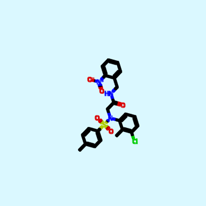 Cc1ccc(S(=O)(=O)N(CC(=O)NCc2ccccc2[N+](=O)[O-])c2cccc(Cl)c2C)cc1